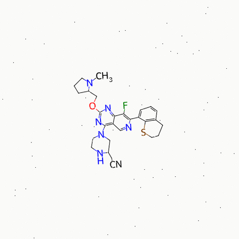 CN1CCCC1COc1nc(N2CCNC(CC#N)C2)c2cnc(-c3cccc4c3SCCC4)c(F)c2n1